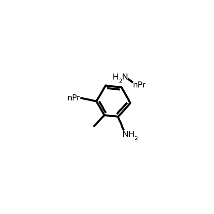 CCCN.CCCc1cccc(N)c1C